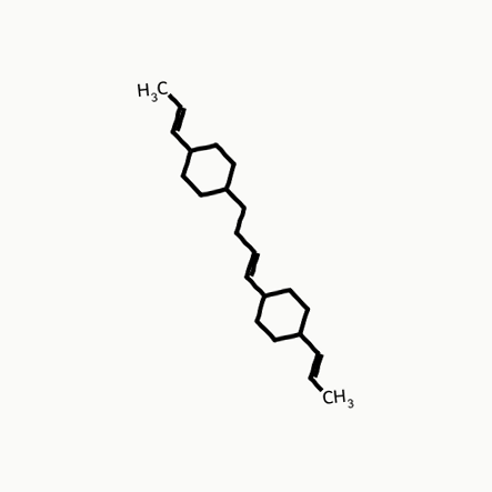 CC=CC1CCC(C=CCCC2CCC(C=CC)CC2)CC1